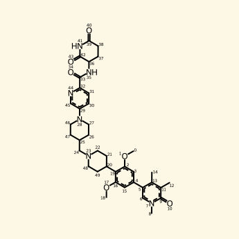 COc1cc(-c2cn(C)c(=O)c(C)c2C)cc(OC)c1C1CCN(CC2CCN(c3ccc(C(=O)NC4CCC(=O)NC4=O)nc3)CC2)CC1